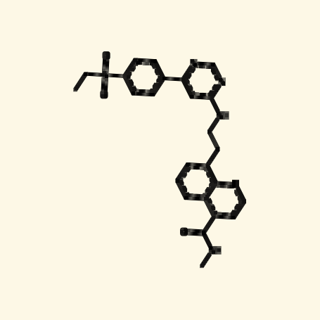 CCS(=O)(=O)c1ccc(-c2cc(NCCc3cccc4c(C(=O)NC)ccnc34)ncn2)cc1